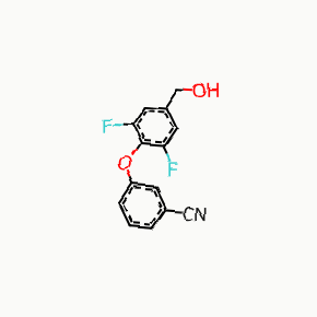 N#Cc1cccc(Oc2c(F)cc(CO)cc2F)c1